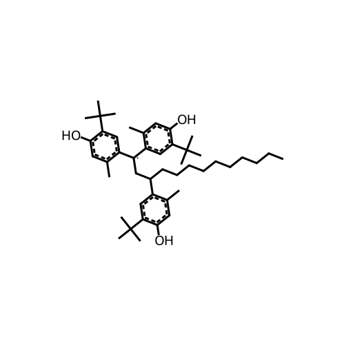 CCCCCCCCCCC(C[C](c1cc(C(C)(C)C)c(O)cc1C)c1cc(C(C)(C)C)c(O)cc1C)c1cc(C(C)(C)C)c(O)cc1C